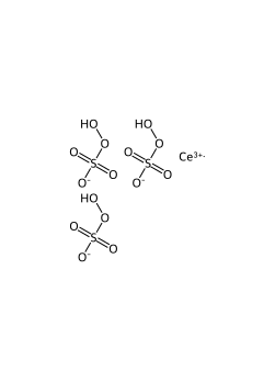 O=S(=O)([O-])OO.O=S(=O)([O-])OO.O=S(=O)([O-])OO.[Ce+3]